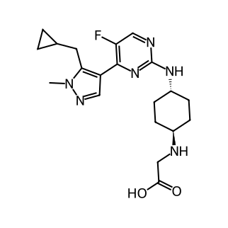 Cn1ncc(-c2nc(N[C@H]3CC[C@H](NCC(=O)O)CC3)ncc2F)c1CC1CC1